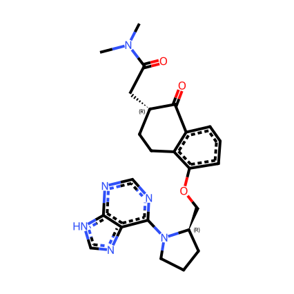 CN(C)C(=O)C[C@H]1CCc2c(OC[C@H]3CCCN3c3ncnc4[nH]cnc34)cccc2C1=O